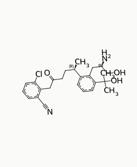 C[C@H](CCC(=O)Cc1c(Cl)cccc1C#N)c1cccc(C(C)(C)O)c1C[C@@H](N)CO